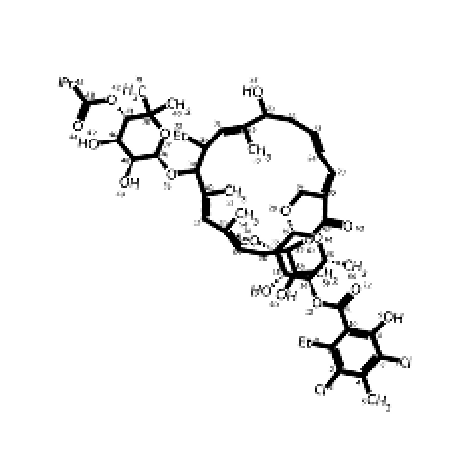 CCc1c(Cl)c(C)c(Cl)c(O)c1C(=O)O[C@H]1[C@H](O)[C@H](OC)[C@H](OC/C2=C\C=C\CC(O)/C(C)=C/C(CC)C(O[C@@H]3OC(C)(C)[C@@H](OC(=O)C(C)C)[C@H](O)[C@@H]3O)/C(C)=C/C(C)=C/CC(C(C)O)OC2=O)O[C@@H]1C